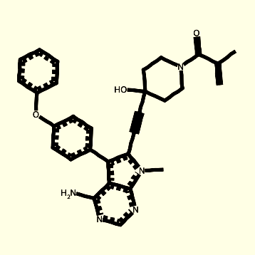 C=C(C)C(=O)N1CCC(O)(C#Cc2c(-c3ccc(Oc4ccccc4)cc3)c3c(N)ncnc3n2C)CC1